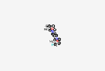 Cc1cc(F)ccc1-c1cccc2c1oc1c(N(c3ccc(C#N)cc3)c3ccc4ccc5c(N(c6ccc(C#N)cc6)c6cccc7c6oc6c(-c8ccc([Si](C)(C)C)cc8C)cccc67)ccc6ccc3c4c65)cccc12